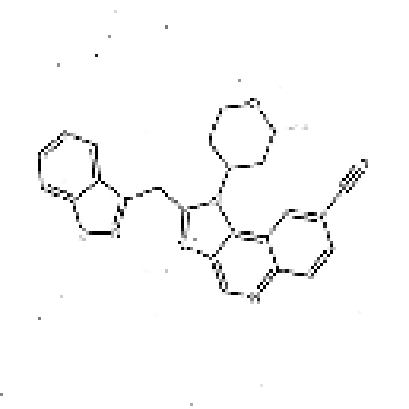 C[C@@H]1CC(n2c(Cc3noc4ccccc34)nc3cnc4ccc(C#N)cc4c32)CCO1